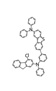 Clc1cc(N(c2ccccc2)c2cccc(-c3ccc4c(c3)sc3ccc(N(c5ccccc5)c5ccccc5)cc34)c2)cc2c1-c1ccccc1C2